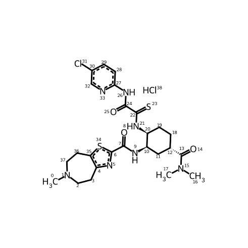 CN1CCc2nc(C(=O)N[C@@H]3C[C@@H](C(=O)N(C)C)CC[C@@H]3NC(=S)C(=O)Nc3ccc(Cl)cn3)sc2CC1.Cl